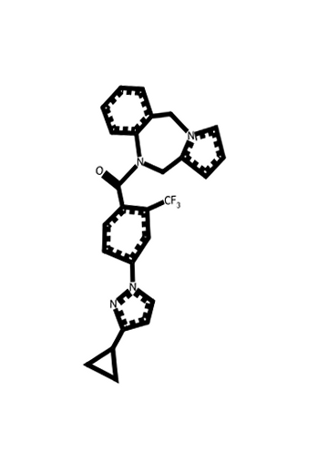 O=C(c1ccc(-n2ccc(C3CC3)n2)cc1C(F)(F)F)N1Cc2cccn2Cc2ccccc21